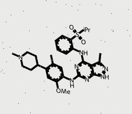 COc1cc(C2CCN(C)CC2)c(C)cc1Nc1nc(Nc2ccccc2S(=O)(=O)C(C)C)c2c(C)n[nH]c2n1